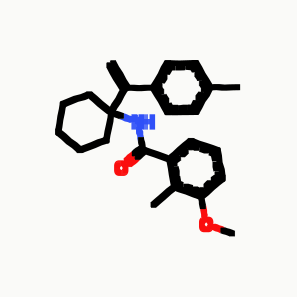 C=C(c1ccc(C)cc1)C1(NC(=O)c2cccc(OC)c2C)CCCCC1